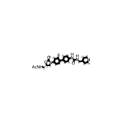 CC(=O)NC[C@H]1CN(c2ccc(-c3ccc(NC(=O)NCc4ccncc4)cc3)c(F)c2)C(=O)O1